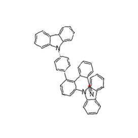 N#Cc1ccccc1-c1c(-c2ccc(-n3c4ccccc4c4ccccc43)cc2)cccc1-n1c2ccccc2c2ccccc21